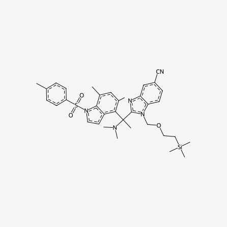 Cc1ccc(S(=O)(=O)n2ccc3c(C(C)(c4nc5cc(C#N)ccc5n4COCC[Si](C)(C)C)N(C)C)c(C)cc(C)c32)cc1